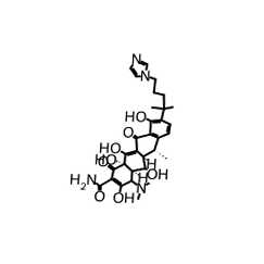 C[C@H]1c2ccc(C(C)(C)CCCn3ccnc3)c(O)c2C(=O)C2=C(O)[C@]3(O)C(=O)C(C(N)=O)=C(O)C(N(C)C)[C@@H]3[C@@H](O)[C@@H]21